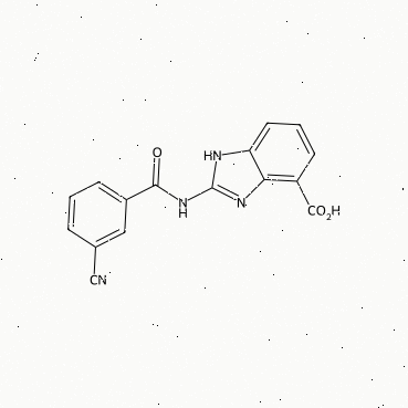 N#Cc1cccc(C(=O)Nc2nc3c(C(=O)O)cccc3[nH]2)c1